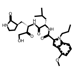 CCCn1c(C(=O)N[C@@H](CC(C)C)C(=O)N[C@@H](C[C@H]2CCNC2=O)C(=O)CO)cc2c(OC)cccc21